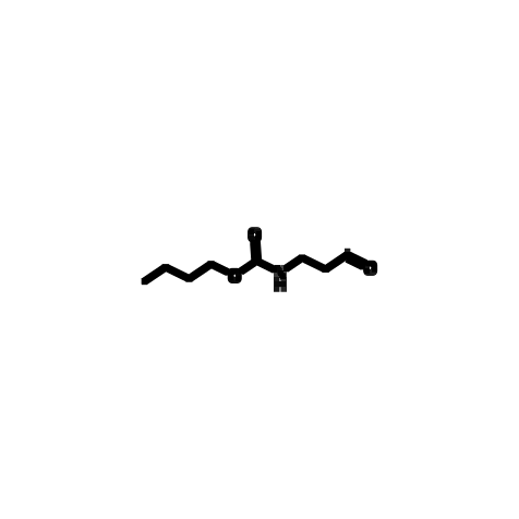 CCCCOC(=O)NCC[C]=O